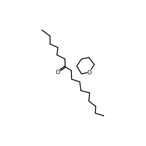 C1CCOCC1.CCCCCCCCCC(=O)CCCCCC